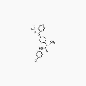 CCC(C(=O)Nc1ccc(Cl)cc1)C1CCC(Oc2ccncc2C(F)(F)F)CC1